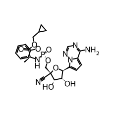 C[C@H](NP(=O)(OC[C@@]1(C#N)O[C@@H](c2ccc3c(N)ncnn23)[C@H](O)[C@@H]1O)Oc1ccccc1)C(=O)OCC1CC1